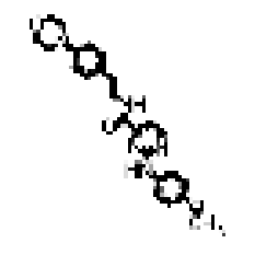 COc1ccc(Nc2nccc(C(=O)NCCc3ccc(N4CCOCC4)cc3)n2)cc1